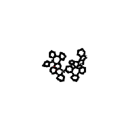 c1ccc(-c2ccccc2N(c2ccc3c(c2)-c2ccccc2-c2ccccc2N3c2ccccc2)c2ccc3c(c2)-c2ccccc2-c2ccccc2C32c3ccccc3-c3c2ccc2sc4ccccc4c32)cc1